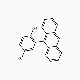 CCC(C)c1ccc(O)c(-c2c3ccccc3cc3ccccc23)c1